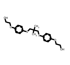 CC(C)(CSc1ccc(OCCO)cc1)CSc1ccc(OCCO)cc1